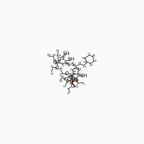 CCO[Si](CC)(OCC)OCCS(CCC1CCCCC1)(SSS(S)(C[Si](OCC)(OCC)OCC)SS)SS(S)(C[Si](OCC)(OCC)OCC)SS